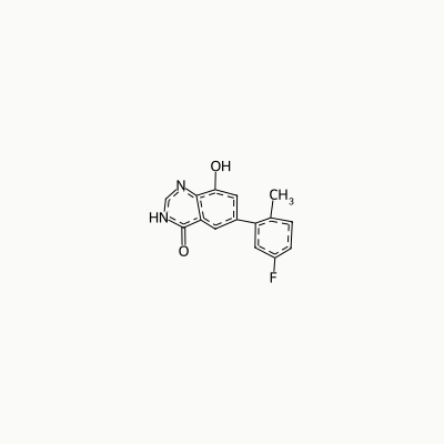 Cc1ccc(F)cc1-c1cc(O)c2nc[nH]c(=O)c2c1